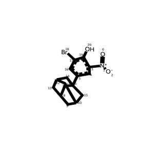 O=[N+]([O-])c1cc(C23CC4CC(CC(C4)C2)C3)cc(Br)c1O